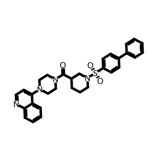 O=C(C1CCCN(S(=O)(=O)c2ccc(-c3ccccc3)cc2)C1)N1CCN(c2ccnc3ccccc23)CC1